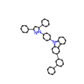 c1ccc(-c2cccc(-c3ccc4c(c3)c3ccccc3n4-c3ccc(-n4nc(-c5ccccc5)cc4-c4ccccc4)cc3)c2)cc1